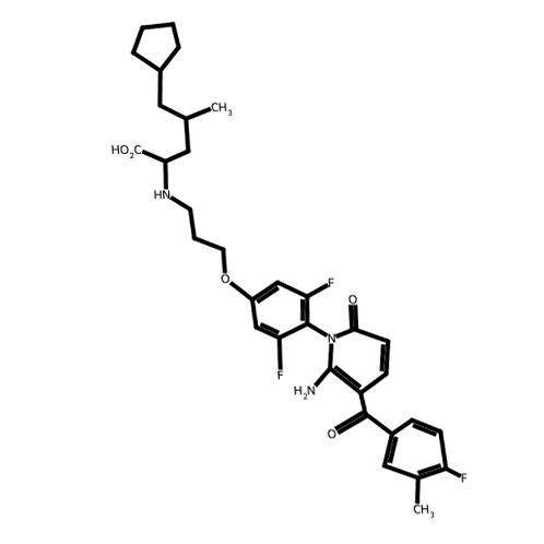 Cc1cc(C(=O)c2ccc(=O)n(-c3c(F)cc(OCCCNC(CC(C)CC4CCCC4)C(=O)O)cc3F)c2N)ccc1F